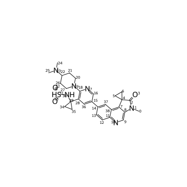 CN1C(=O)C2(CC2)c2c1cnc1ccc(-c3cnc(N4CCC(N(C)C)CC4)c(C4(N[SH](=O)=O)CC4)c3)cc21